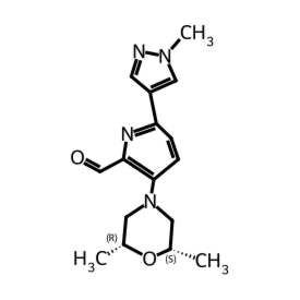 C[C@@H]1CN(c2ccc(-c3cnn(C)c3)nc2C=O)C[C@H](C)O1